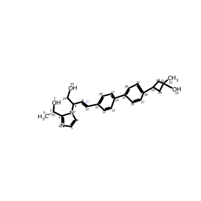 C[C@H](O)c1nccn1C(/C=C/c1ccc(-c2ccc(C3CC(C)(O)C3)cc2)cc1)CO